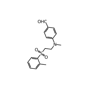 Cc1ccccc1S(=O)(=O)CCN(C)c1ccc(C=O)cc1